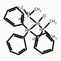 C[PH](C)(C)[Rh]([Cl])([PH](C)(C)C)[PH](c1ccccc1)(c1ccccc1)c1ccccc1